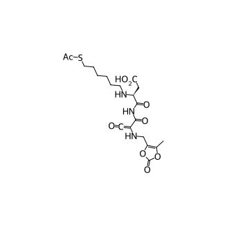 CC(=O)SCCCCCCN[C@@H](CC(=O)O)C(=O)NC(=O)C(=C=O)NCc1oc(=O)oc1C